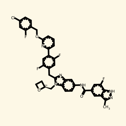 Cc1n[nH]c2c(F)cc(C(=O)Nc3ccc4c(c3)nc(Cc3cc(F)c(-c5cccc(OCc6ccc(Cl)cc6F)n5)cc3F)n4C[C@@H]3CCO3)cc12